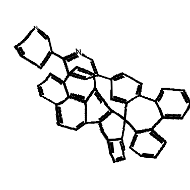 c1cncc(-c2ccc(-c3ccc4c(c3)C3(c5ccccc5-c5ccccc5-4)c4ccccc4-c4c3cc3ccc5cccc6ccc4c3c56)cn2)c1